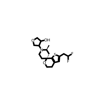 C[C@H]1C[C@@]2(CCN1C1COCC1O)OCCc1cc(CC(F)F)sc12